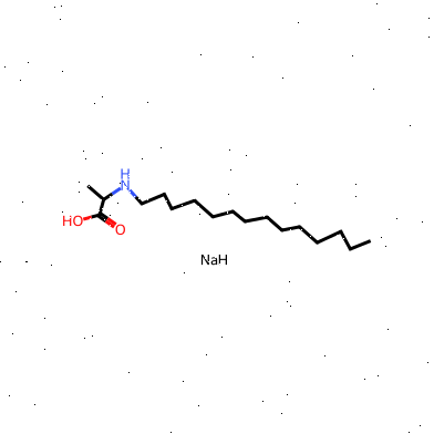 CCCCCCCCCCCCCCNC(C)C(=O)O.[NaH]